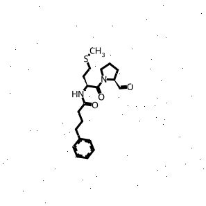 CSCC[C@H](NC(=O)CCCc1ccccc1)C(=O)N1CCC[C@H]1C=O